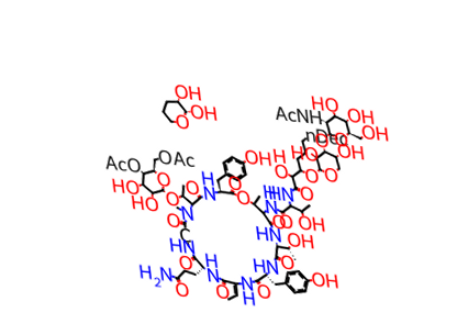 CC=C1NC(=O)[C@@H](Cc2ccc(O)cc2)NC(=O)[C@@H]([C@@H](C)O)NC(=O)C(NC(=O)C(NC(=O)C(O)C(CCCCCCCCCCCCC)O[C@@H]2OC[C@@H](O)[C@@H](O[C@@H]3O[C@H](CO)[C@@H](O)[C@H](O)[C@H]3NC(C)=O)[C@@H]2O)C(C)O)C(C)OC(=O)[C@H](Cc2ccc(O)cc2)NC(=O)C(C(C)O[C@H]2O[C@H](COC(C)=O)[C@@H](OC(C)=O)[C@H](O)[C@@H]2O)N(C)C(=O)CNC(=O)[C@@H](CCC(N)=O)NC1=O.O[C@@H]1OCCC[C@@H]1O